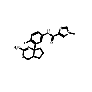 Cn1cnc(C(=O)Nc2ccc(F)c(C34CCCC3CSC(N)=N4)c2)c1